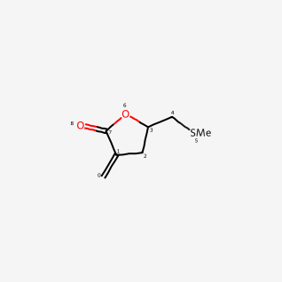 C=C1CC(CSC)OC1=O